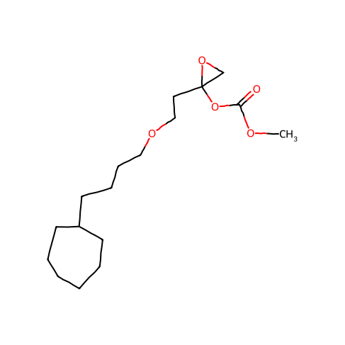 COC(=O)OC1(CCOCCCCC2CCCCCC2)CO1